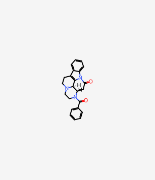 O=C(c1ccccc1)N1CCN2CCc3c4n(c5ccccc35)C(=O)C[C@@H]1[C@H]42